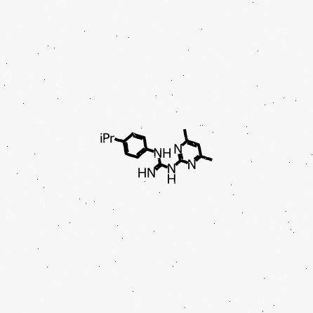 Cc1cc(C)nc(NC(=N)Nc2ccc(C(C)C)cc2)n1